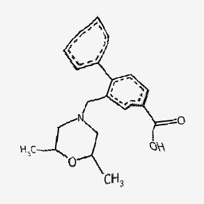 CC1CN(Cc2cc(C(=O)O)ccc2-c2ccccc2)CC(C)O1